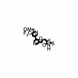 COc1ncc(-c2cncc3cc(/C=C4/SC(=S)NC4=O)oc23)cc1C(F)(F)F